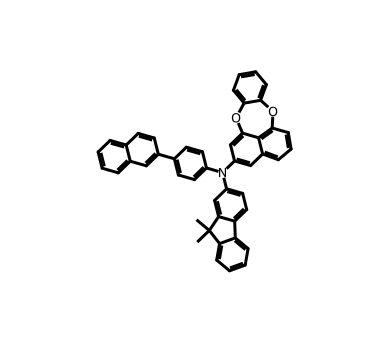 CC1(C)c2ccccc2-c2ccc(N(c3ccc(-c4ccc5ccccc5c4)cc3)c3cc4c5c(cccc5c3)Oc3ccccc3O4)cc21